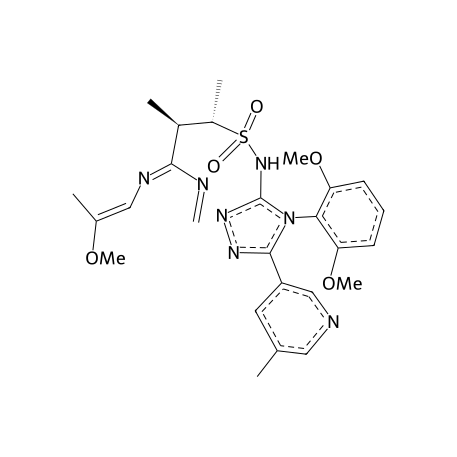 C=N/C(=N\C=C(/C)OC)[C@@H](C)[C@H](C)S(=O)(=O)Nc1nnc(-c2cncc(C)c2)n1-c1c(OC)cccc1OC